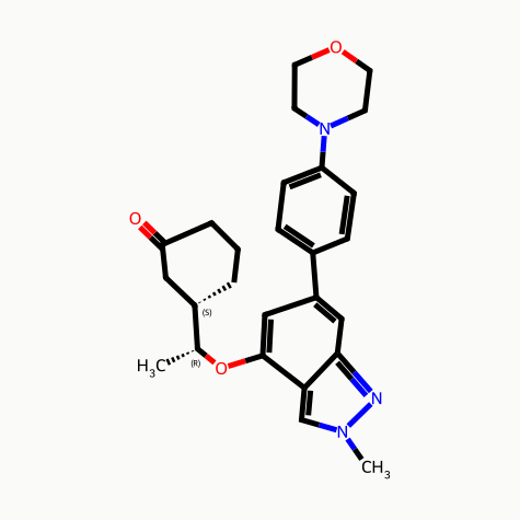 C[C@@H](Oc1cc(-c2ccc(N3CCOCC3)cc2)cc2nn(C)cc12)[C@H]1CCCC(=O)C1